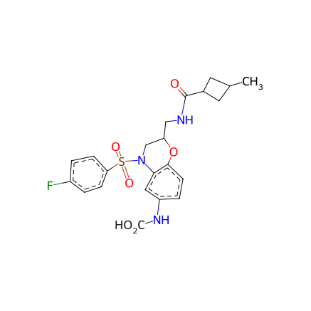 CC1CC(C(=O)NCC2CN(S(=O)(=O)c3ccc(F)cc3)c3cc(NC(=O)O)ccc3O2)C1